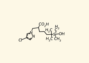 CC(C)(CCCC(Cn1cc(Cl)cn1)C(=O)O)[Si](C)(C)O